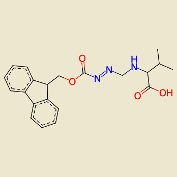 CC(C)C(NCN=NC(=O)OCC1c2ccccc2-c2ccccc21)C(=O)O